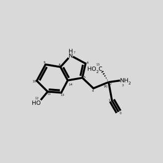 C#C[C@](N)(Cc1c[nH]c2ccc(O)cc12)C(=O)O